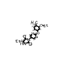 CCOc1cc(Oc2ncc(N3C(=O)N[C@H](CC)C3=O)cn2)ccc1C